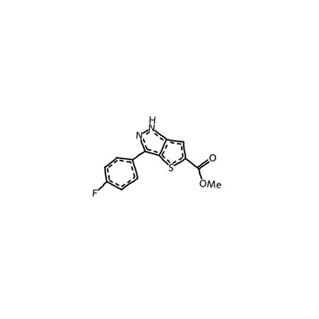 COC(=O)c1cc2[nH]nc(-c3ccc(F)cc3)c2s1